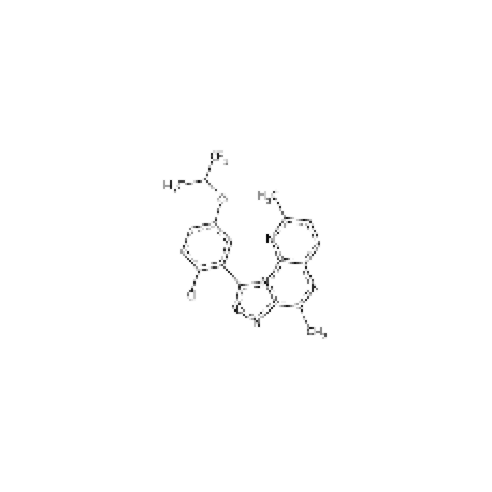 Cc1ccc2nc(C)c3nnc(-c4cc(OC(C)C(F)(F)F)ccc4Cl)n3c2n1